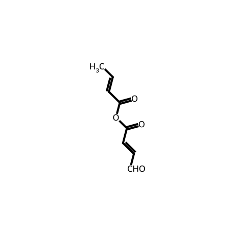 C/C=C/C(=O)OC(=O)C=CC=O